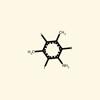 Cc1c(I)c(C)c(I)c(N)c1I